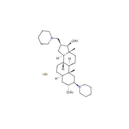 Br.CC(=O)O[C@@H]1[C@H](CN2CCCCC2)C[C@@H]2[C@H]3CC[C@@H]4C[C@@H](OC(C)=O)[C@H](N5CCCCC5)C[C@@]4(C)[C@@H]3CC[C@]21C